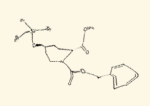 COC(=O)[C@H]1C[C@H](O[Si](C(C)C)(C(C)C)C(C)C)CN1C(=O)OCc1ccccc1